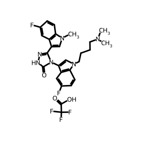 CN(C)CCCCn1cc(-n2c(-c3cn(C)c4ccc(F)cc34)n[nH]c2=O)c2cc(F)ccc21.O=C(O)C(F)(F)F